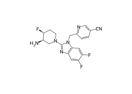 N#Cc1ccc(Cn2c(N3CC[C@H](F)[C@H](N)C3)nc3cc(F)c(F)cc32)nc1